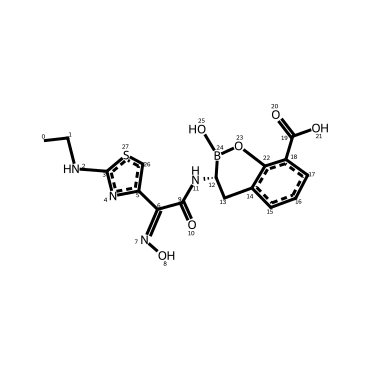 CCNc1nc(/C(=N/O)C(=O)N[C@H]2Cc3cccc(C(=O)O)c3OB2O)cs1